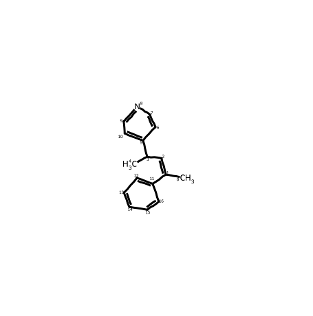 CC(=CC(C)c1ccncc1)c1ccccc1